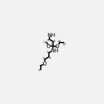 CCOCCCNC(CC[NH])(OC)OCC